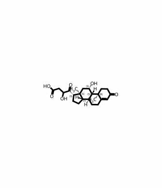 C[C@]12C[C@H](O)[C@H]3[C@@H](CCC4=CC(=O)CC[C@@]43C)[C@@H]1CC[C@@H]2C(=O)C(O)CC(=O)O